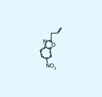 C=CCc1nc2ccc([N+](=O)[O-])cc2o1